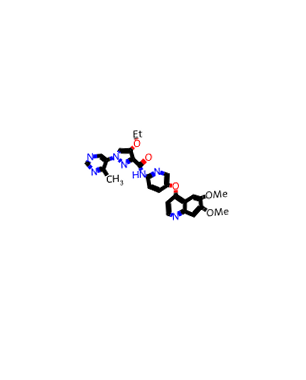 CCOc1cn(-c2cncnc2C)nc1C(=O)Nc1ccc(Oc2ccnc3cc(OC)c(OC)cc23)cn1